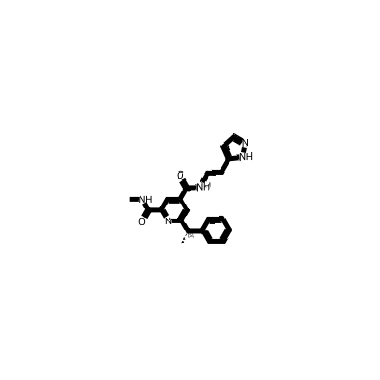 CNC(=O)c1cc(C(=O)NCCc2ccn[nH]2)cc([C@@H](C)c2ccccc2)n1